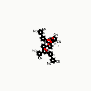 N#Cc1cc(C#N)cc(-c2ccc3c(c2)c2cc(-c4cc(C#N)cc(C#N)c4)ccc2n3-c2ccc(-c3c(C(F)(F)F)cccc3C(F)(F)F)cc2-c2c(C#N)cccc2-n2c3ccc(-c4cc(C#N)cc(C#N)c4)cc3c3cc(-c4cc(C#N)cc(C#N)c4)ccc32)c1